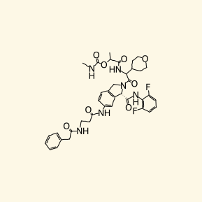 CNC(=O)OC(C)C(=O)NC(C(=O)N1Cc2ccc(NC(=O)CCNC(=O)Cc3ccccc3)cc2[C@H]1C(=O)Nc1c(F)cccc1F)C1CCOCC1